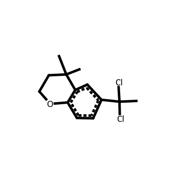 CC(Cl)(Cl)c1ccc2c(c1)C(C)(C)CCO2